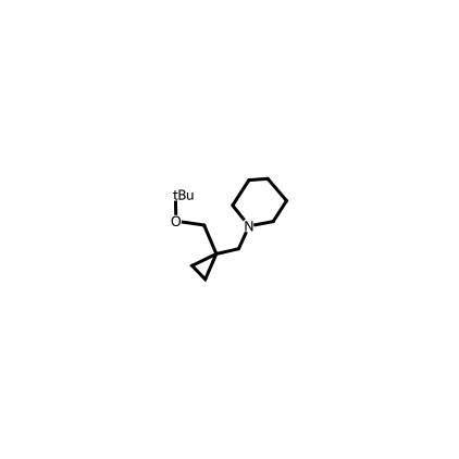 CC(C)(C)OCC1(CN2CCCCC2)CC1